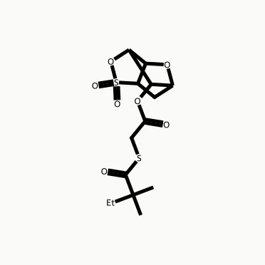 CCC(C)(C)C(=O)SCC(=O)OC1C2CC3C(O2)C1OS3(=O)=O